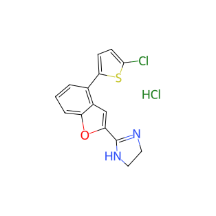 Cl.Clc1ccc(-c2cccc3oc(C4=NCCN4)cc23)s1